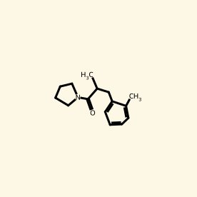 Cc1ccccc1CC(C)C(=O)N1CCCC1